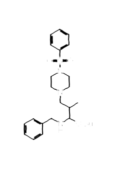 CC(C)COC(NCc1ccccc1)C(C)CN1CCN(S(=O)(=O)c2ccccc2)CC1